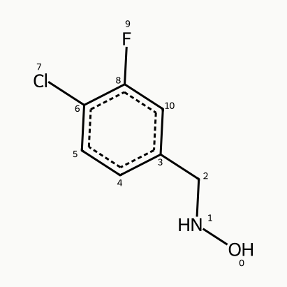 ONCc1ccc(Cl)c(F)c1